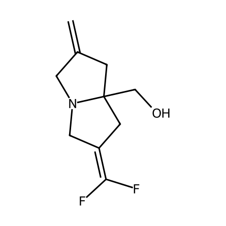 C=C1CN2CC(=C(F)F)CC2(CO)C1